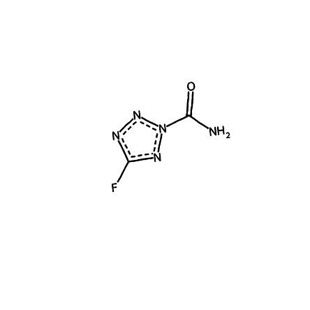 NC(=O)n1nnc(F)n1